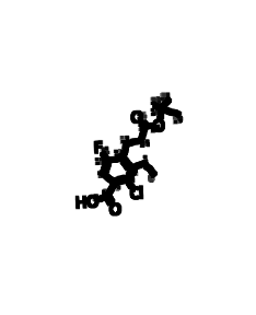 CCc1c(Cl)c(C(=O)O)cc(F)c1CCC(=O)OC(C)(C)C